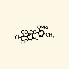 CCOC(=O)C(=C(Cl)Cl)c1cc(Oc2ccc(C)cc2OC)c(Cl)cc1F